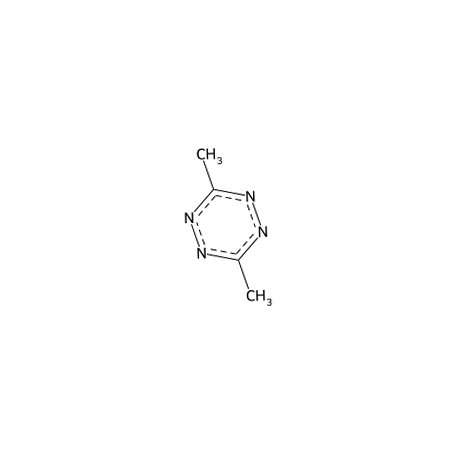 Cc1nnc(C)nn1